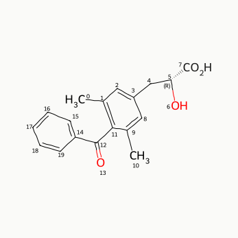 Cc1cc(C[C@@H](O)C(=O)O)cc(C)c1C(=O)c1ccccc1